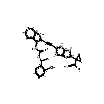 CC(OC(=O)Nc1c(C#Cc2nc3nc(C4(C(=O)O)CC4)sc3s2)oc2cnccc12)c1ccccc1Cl